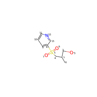 CC(C[O])CS(=O)(=O)c1cccnc1